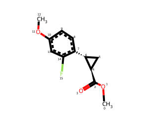 COC(=O)[C@@H]1C[C@H]1c1ccc(OC)cc1F